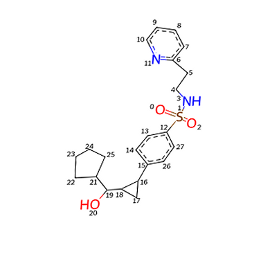 O=S(=O)(NCCc1ccccn1)c1ccc(C2CC2C(O)C2CCCC2)cc1